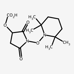 CC1(C)CCCC(C)(C)N1ON1C(=O)CC(OC(=O)O)C1=O